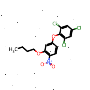 CCCCOc1cc(Oc2c(Cl)cc(Cl)cc2Cl)ccc1[N+](=O)[O-]